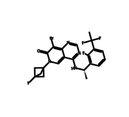 C[C@H](Nc1ncnc2c(Br)c(=O)n(C34CC(F)(C3)C4)cc12)c1cccc(C(C)(F)F)c1F